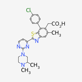 Cc1cc2nc(-c3ccnc(N4CCN(C)C(C)C4)n3)sc2c(-c2ccc(Cl)cc2)c1CC(=O)O